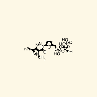 CCCc1nn(C)c2c(=O)n(C3[CH][CH]C(COP(=O)(O)OP(=O)(O)OP(=O)(O)O)O3)nnc12